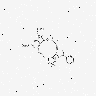 COCOc1cc(OC)cc2c1C(=O)O[C@@H](C)[C@H](C)/C=C\C(OC(=O)c1ccccc1)[C@H]1OC(C)(C)OC1C/C=C/2